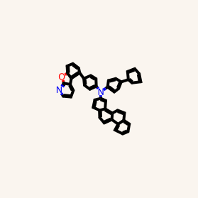 c1ccc(-c2ccc(N(c3ccc(-c4cccc5oc6ncccc6c45)cc3)c3ccc4ccc5c6ccccc6ccc5c4c3)cc2)cc1